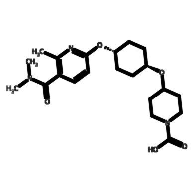 Cc1nc(O[C@H]2CC[C@H](OC3CCN(C(=O)O)CC3)CC2)ccc1C(=O)N(C)C